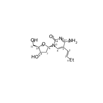 CCC=Cc1cn([C@H]2CC(O)[C@@H](CO)O2)c(=O)nc1N